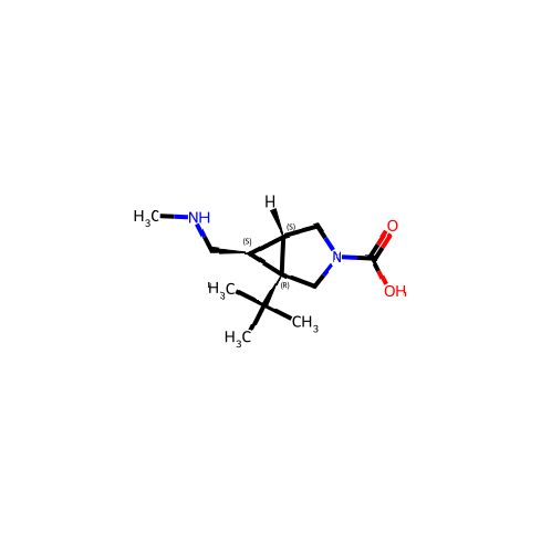 CNC[C@H]1[C@@H]2CN(C(=O)O)C[C@]12C(C)(C)C